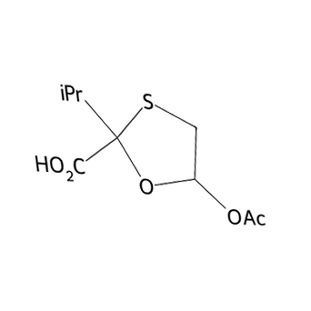 CC(=O)OC1CSC(C(=O)O)(C(C)C)O1